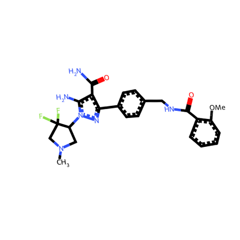 COc1ccccc1C(=O)NCc1ccc(-c2nn(C3CN(C)CC3(F)F)c(N)c2C(N)=O)cc1